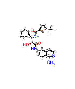 CC(C)(C)c1ccc(C(=O)NC(c2ccccc2)C(O)C(=O)Nc2ccc3c(N)nccc3c2)s1